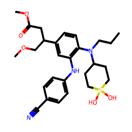 CCCN(c1ccc(C(COC)CC(=O)OC)cc1Nc1ccc(C#N)cc1)C1CCS(O)(O)CC1